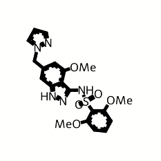 COc1cccc(OC)c1S(=O)(=O)Nc1n[nH]c2cc(Cn3cccn3)cc(OC)c12